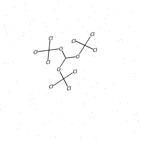 ClC(Cl)(Cl)OC(OC(Cl)(Cl)Cl)OC(Cl)(Cl)Cl